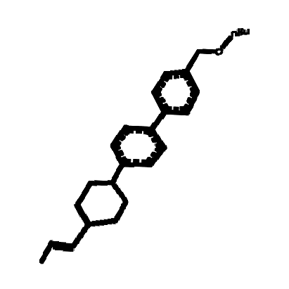 C/C=C/C1CCC(c2ccc(-c3ccc(COCCCC)cc3)cc2)CC1